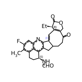 CC[C@H]1C(=O)OCC2=C1/C=C1/c3nc4cc(F)c(C)c5c4c(c3CC1CCC2=O)[C@@H](NC=O)CC5